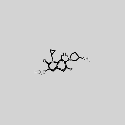 Cc1c(N2CCC(N)C2)c(F)cc2cc(C(=O)O)c(=O)n(C3CC3)c12